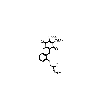 COC1=C(OC)C(=O)C(Cc2ccccc2CCC(=O)NC(C)C)=C(C)C1=O